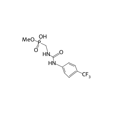 COP(=O)(O)CNC(=O)Nc1ccc(C(F)(F)F)cc1